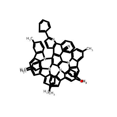 Cc1ccc2c(c1)c1cc(C)ccc1n2-c1c(C#N)c(-c2ccc(-c3ccccc3)nc2-c2ccccc2)c(-n2c3ccc(C)cc3c3cc(C)ccc32)c(-n2c3ccc(C)cc3c3cc(C)ccc32)c1-n1c2ccc(C)cc2c2cc(C)ccc21